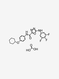 O=C(Nc1ccc(OC2CCCCC2)cc1)c1nnc(Nc2cc(F)c(F)c(F)c2)o1.O=C(O)O